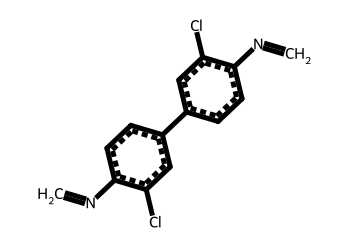 C=Nc1ccc(-c2ccc(N=C)c(Cl)c2)cc1Cl